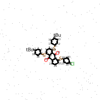 CC(C)(C)c1ccc(Sc2ccc(Sc3ccc(C(C)(C)C)cc3)c3c2C(=O)c2cccc(Sc4ccc(Cl)cc4)c2C3=O)cc1